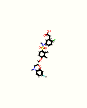 Cc1c(OC[C@@H]2CN(C)c3ccc(F)cc3O2)ccc(S(=O)(=O)N(C)c2ccc(Cl)c(CC(=O)O)c2)c1C